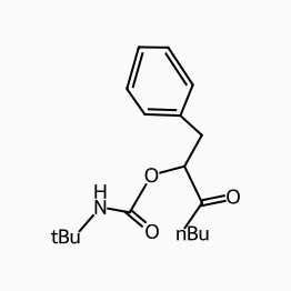 CCCCC(=O)C(Cc1ccccc1)OC(=O)NC(C)(C)C